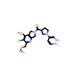 COCc1nc2c(c(C)c1Cl)CN(C(=O)C1CCN(C(/C=C\N)=C/N)C1)C2